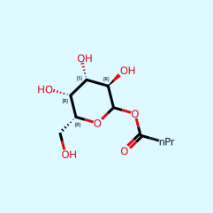 CCCC(=O)OC1O[C@H](CO)[C@H](O)[C@H](O)[C@H]1O